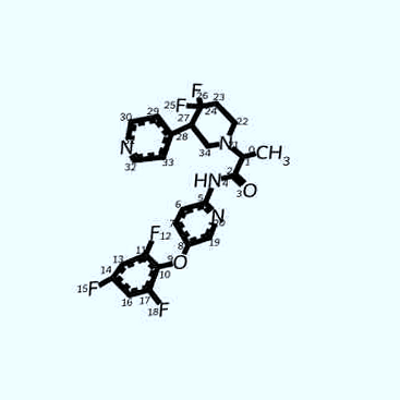 CC(C(=O)Nc1ccc(Oc2c(F)cc(F)cc2F)cn1)N1CCC(F)(F)C(c2ccncc2)C1